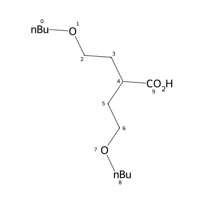 CCCCOCCC(CCOCCCC)C(=O)O